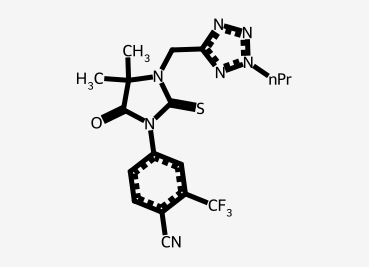 CCCn1nnc(CN2C(=S)N(c3ccc(C#N)c(C(F)(F)F)c3)C(=O)C2(C)C)n1